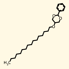 CCCCCCCCCCCCCCCCOC1COC(c2ccccc2)OC1